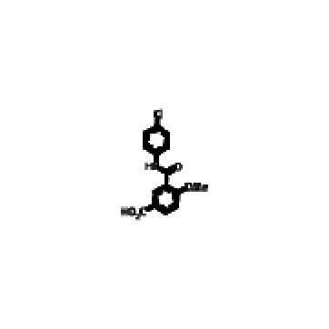 COc1ccc(C(=O)O)cc1C(=O)Nc1ccc(Cl)cc1